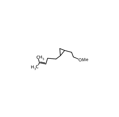 COCCC1CC1CCC=C(C)C